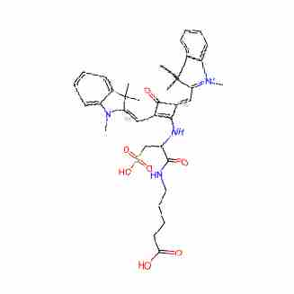 CN1/C(=C/C2=C(NC(CS(=O)(=O)O)C(=O)NCCCCC(=O)O)C(=C/C3=[N+](C)c4ccccc4C3(C)C)/C2=O)C(C)(C)c2ccccc21